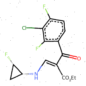 CCOC(=O)C(=CN[C@@H]1C[C@@H]1F)C(=O)c1ccc(F)c(Cl)c1F